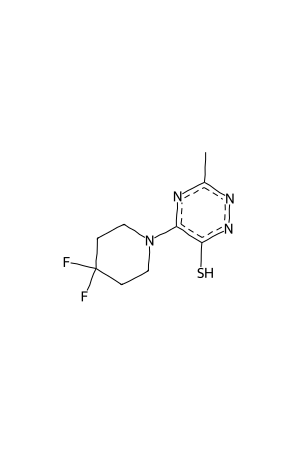 Cc1nnc(S)c(N2CCC(F)(F)CC2)n1